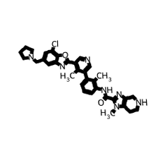 Cc1c(NC(=O)c2nc3c(n2C)CCNC3)cccc1-c1cncc(-c2nc3cc(CN4CCCC4)cc(Cl)c3o2)c1C